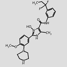 CCC(F)(F)c1cccc(NC(=O)c2c(C)[nH]c(-c3ccc(OC)c(N4CCNCC4)c3)[n+]2O)c1